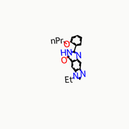 CCCOc1ccccc1-c1nc2cc3ncn(CC)c3cc2c(=O)[nH]1